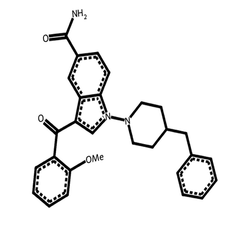 COc1ccccc1C(=O)c1cn(N2CCC(Cc3ccccc3)CC2)c2ccc(C(N)=O)cc12